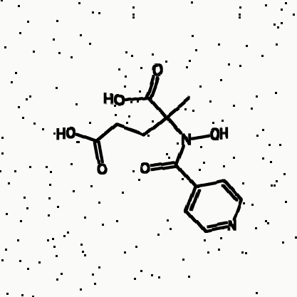 CC(CCC(=O)O)(C(=O)O)N(O)C(=O)c1ccncc1